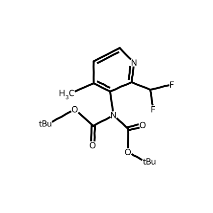 Cc1ccnc(C(F)F)c1N(C(=O)OC(C)(C)C)C(=O)OC(C)(C)C